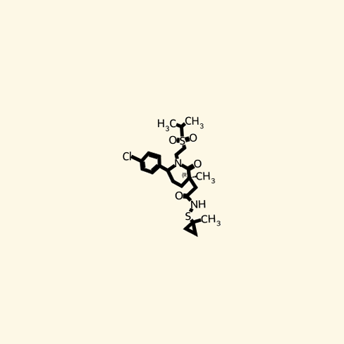 CC(C)S(=O)(=O)CCN1C(=O)[C@@](C)(CC(=O)NSC2(C)CC2)CCC1c1ccc(Cl)cc1